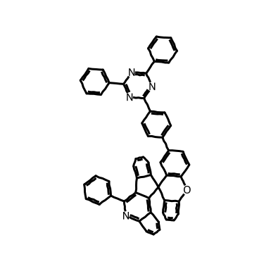 c1ccc(-c2nc(-c3ccccc3)nc(-c3ccc(-c4ccc5c(c4)C4(c6ccccc6O5)c5ccccc5-c5c(-c6ccccc6)nc6ccccc6c54)cc3)n2)cc1